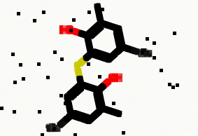 Cc1cc(C(C)(C)C)cc(Sc2cc(C(C)(C)C)cc(C)c2O)c1O